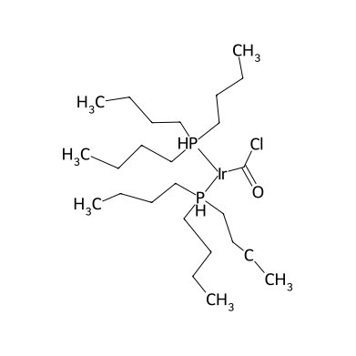 CCCC[PH](CCCC)(CCCC)[Ir]([C](=O)Cl)[PH](CCCC)(CCCC)CCCC